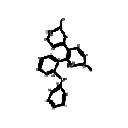 CC1CC(C2=C(c3ccccc3Oc3ccccc3)NN(C)C=C2)=CCN1